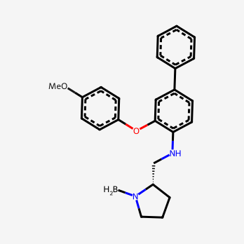 BN1CCC[C@H]1CNc1ccc(-c2ccccc2)cc1Oc1ccc(OC)cc1